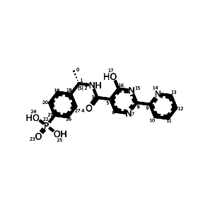 C[C@H](NC(=O)c1cnc(-c2ccccn2)nc1O)c1ccc(P(=O)(O)O)cc1